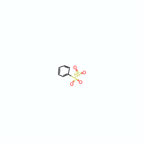 O=[SH](=O)S(=O)(=O)c1ccccc1